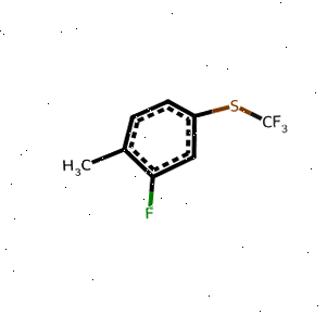 Cc1ccc(SC(F)(F)F)cc1F